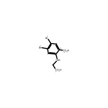 O=C(O)CNc1cc(Br)c(Br)cc1C(=O)O